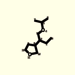 CCC(COC(C)C)C1CCOC1